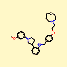 COc1cccc(N2CCC(c3ccccc3NCc3ccc(OCCN4CCCCCC4)cc3)C2)c1